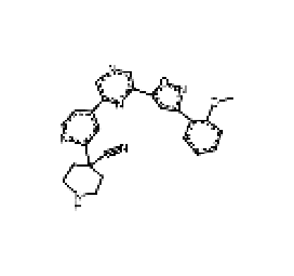 COc1ccccc1-c1cc(-c2cncc(-c3ccnc(C4(C#N)CCNCC4)c3)n2)on1